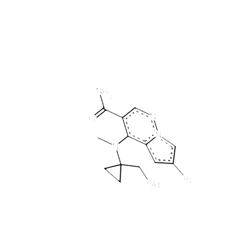 CN(c1c(C(N)=O)cnn2cc(Br)cc12)C1(CO)CC1